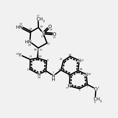 COc1cnc2c(Nc3cc([C@@H]4CS(=O)(=O)C(C)C(=N)N4)c(F)cn3)ccnc2n1